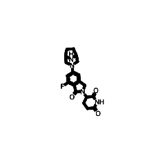 O=C1CCC(N2Cc3cc(N4CC5CCC(C4)N5)cc(F)c3C2=O)C(=O)N1